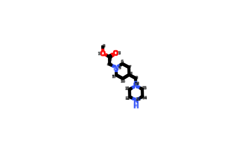 COC(=O)CN1CCC(CN2CCNCC2)CC1